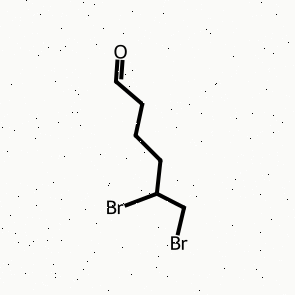 O=CCCCC(Br)CBr